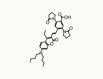 CCCCN(CCCC)c1ccc2c(CC)c(/C=C/c3cc(N4CCCC4=O)c(C(=O)O)cc3N3CCCC3=O)c(=O)oc2c1